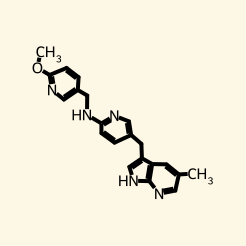 COc1ccc(CNc2ccc(Cc3c[nH]c4ncc(C)cc34)cn2)cn1